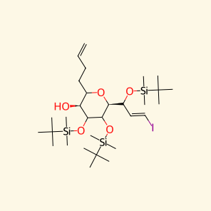 C=CCCC1O[C@@H](C(/C=C/I)O[Si](C)(C)C(C)(C)C)C(O[Si](C)(C)C(C)(C)C)C(O[Si](C)(C)C(C)(C)C)[C@H]1O